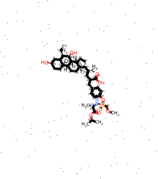 CC[C@@H]1C2C[C@H](O)CC[C@]2(C)[C@H]2CC[C@]3(C)[C@@H]([C@H](C)CC(Cc4ccc(OP(=O)(COC)N[C@@H](C)C(=O)OC(C)C)cc4)C(=O)O)CC[C@H]3[C@@H]2[C@@H]1O